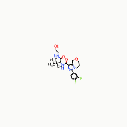 CC(C)(C)[C@H](NC(=O)c1nc(-c2ccc(F)c(F)c2)n2c1COCCC2)C(=O)NCCO